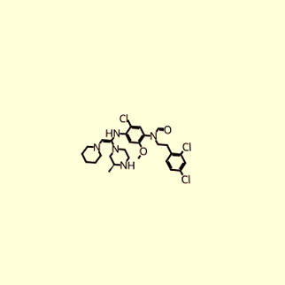 COc1cc(N/C(=C/N2CCCCC2)N2CCN[C@@H](C)C2)c(Cl)cc1N(C=O)CCc1ccc(Cl)cc1Cl